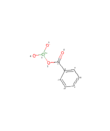 O=C(O[Cl+2]([O-])[O-])c1ccccc1